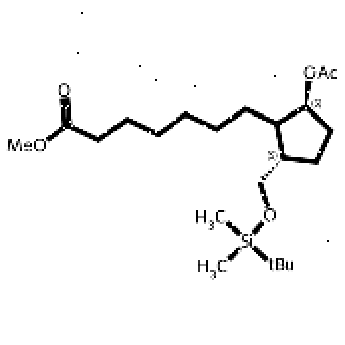 COC(=O)CCCCCCC1[C@@H](CO[Si](C)(C)C(C)(C)C)CC[C@@H]1OC(C)=O